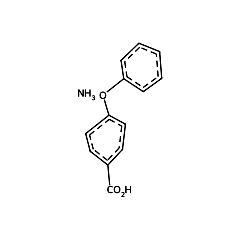 N.O=C(O)c1ccc(Oc2ccccc2)cc1